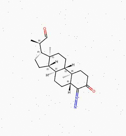 C[C@@H](C=O)[C@H]1CC[C@H]2[C@@H]3CC[C@H]4C(=[N+]=[N-])C(=O)CC[C@]4(C)[C@H]3CC[C@]12C